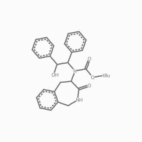 CC(C)(C)OC(=O)N(C1Cc2ccccc2CNC1=O)C(c1ccccc1)C(O)c1ccccc1